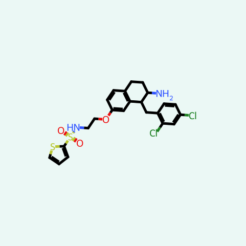 NC1CCc2ccc(OCCNS(=O)(=O)c3cccs3)cc2C1Cc1ccc(Cl)cc1Cl